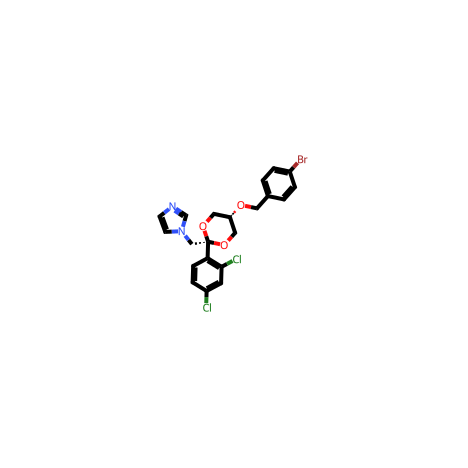 Clc1ccc([C@]2(Cn3ccnc3)OC[C@@H](OCc3ccc(Br)cc3)CO2)c(Cl)c1